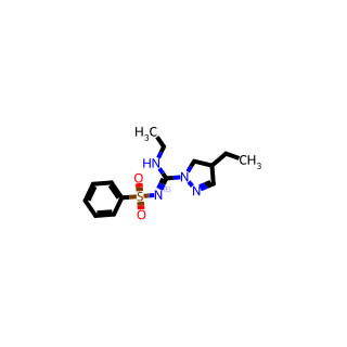 CCN/C(=N\S(=O)(=O)c1ccccc1)N1CC(CC)C=N1